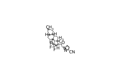 C[C@H]1CC[C@@H]2C3CC[C@@]4(C)C([C@@H]3CC[C@@H]2C1)[C@H]1[C@@H]([C@@H]4C(=O)Cn2ccc(C#N)n2)C1(F)F